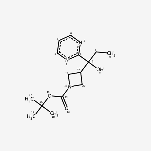 CCC(O)(c1ncccn1)C1CN(C(=O)OC(C)(C)C)C1